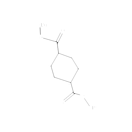 CCCOC(=O)C1CCC(C(=O)OC(C)(C)C)CC1